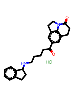 Cl.O=C(CCCCNC1CCc2ccccc21)c1cc2c3c(c1)CCN3C(=O)CC2